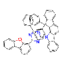 c1ccc(-c2nc(-c3cccc4c3oc3ccccc34)nc(-n3c4ccccc4c4ccc5c(c43)C(c3ccccc3)(c3ccccc3)c3ccccc3-5)n2)cc1